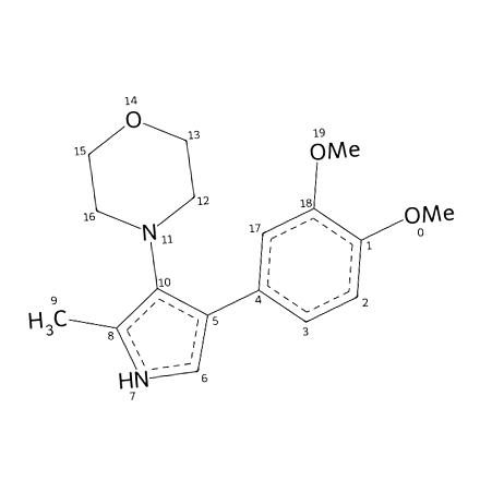 COc1ccc(-c2c[nH]c(C)c2N2CCOCC2)cc1OC